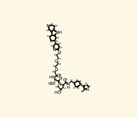 Cc1ncsc1-c1ccc(CNC(=O)C2CC(O)CN2C(=O)[C@@H](NC(=O)COCCOCCOc2ccc(-c3ccc4c(c3)[nH]c3ccncc34)cn2)C(C)(C)C)cc1